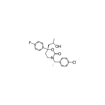 CC(O)C[C@]1(c2ccc(F)cc2)CCN([C@@H](C)c2ccc(Cl)cc2)C(=O)O1